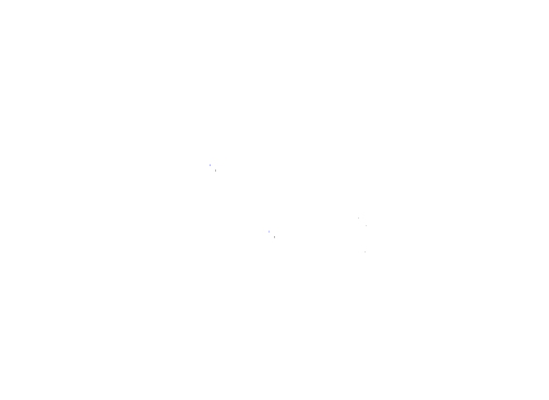 c1ccc(N(c2ccc(-n3c4ccccc4c4ccccc43)cc2)c2ccc(C34CC5CC(CC(C5)C3)C4)cc2)cc1